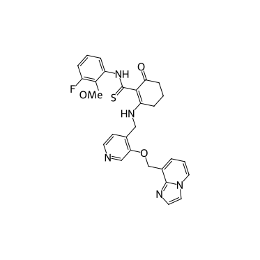 COc1c(F)cccc1NC(=S)C1=C(NCc2ccncc2OCc2cccn3ccnc23)CCCC1=O